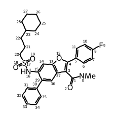 CNC(=O)c1c(-c2ccc(F)cc2)oc2cc(NS(=O)(=O)CCCC3CCCCC3)c(-c3ccccc3)cc12